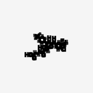 CC(C)(C)C1CCC(C(NC(=O)Nc2ccc(Cl)c(C(F)(F)F)c2)c2ccc(C(=O)NCCC(=O)O)o2)CC1